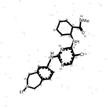 CCN1CCc2ccc(Nc3ncc(Cl)c([AsH]C4CCCCC4C(=O)NC)n3)cc2CC1